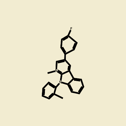 Cc1ccccc1-n1c2ccccc2c2cc(-c3ccc(F)cc3)c[n+](C)c21